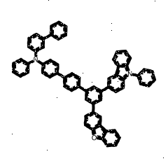 c1ccc(-c2cccc(N(c3ccccc3)c3ccc(-c4ccc(-c5cc(-c6ccc7oc8ccccc8c7c6)cc(-c6ccc7c(c6)c6ccccc6n7-c6ccccc6)c5)cc4)cc3)c2)cc1